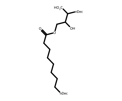 CCCCCCCCCCCCCCCCCC(=O)OCC(O)C(CCCCCCCCCC)C(=O)O